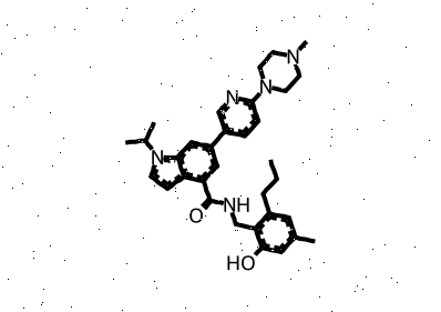 CCCc1cc(C)cc(O)c1CNC(=O)c1cc(-c2ccc(N3CCN(C)CC3)nc2)cc2c1ccn2C(C)C